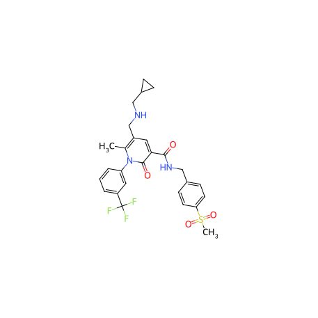 Cc1c(CNCC2CC2)cc(C(=O)NCc2ccc(S(C)(=O)=O)cc2)c(=O)n1-c1cccc(C(F)(F)F)c1